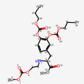 CCC(C)OC(=O)OCCN[C@@H](Cc1ccc(OC(=O)OCCC(C)C)c(OC(=O)OCCC(C)C)c1)C(=O)OC